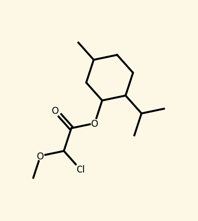 COC(Cl)C(=O)OC1CC(C)CCC1C(C)C